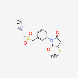 CCCSC1CC(=O)N(c2cccc(CS(=O)(=O)C/C=C/C#N)c2)C1=O